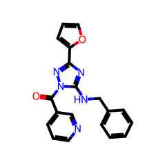 O=C(c1cccnc1)n1nc(-c2ccco2)nc1NCc1ccccc1